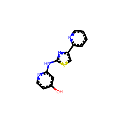 Oc1ccnc(Nc2nc(-c3ccccn3)cs2)c1